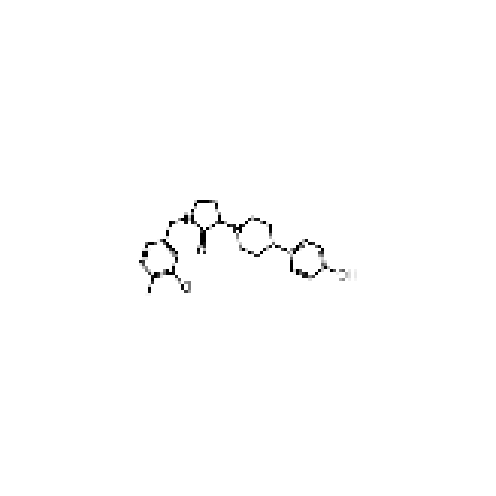 Cc1ccc(CN2CCC(N3CCC(c4ccc(O)cc4)CC3)C2=O)cc1Cl